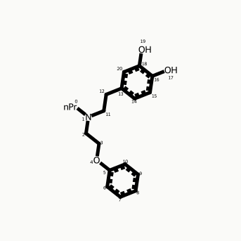 CCCN(CCOc1ccccc1)CCc1ccc(O)c(O)c1